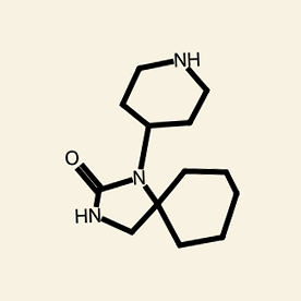 O=C1NCC2(CCCCC2)N1C1CCNCC1